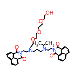 CC(C)N(CCCN(CCOCCOCCOCCO)CCN1C(=O)c2cccc3cccc(c23)C1=O)CCN1C(=O)c2cccc3cccc(c23)C1=O